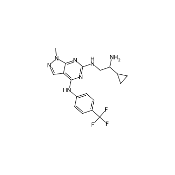 Cn1ncc2c(Nc3ccc(C(F)(F)F)cc3)nc(NCC(N)C3CC3)nc21